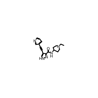 CCN1CCC(NC(=O)c2n[nH]cc2C#Cc2cccnc2)CC1